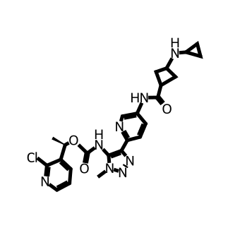 C[C@@H](OC(=O)Nc1c(-c2ccc(NC(=O)C3CC(NC4CC4)C3)cn2)nnn1C)c1cccnc1Cl